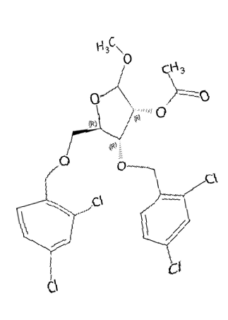 COC1O[C@H](COCc2ccc(Cl)cc2Cl)[C@@H](OCc2ccc(Cl)cc2Cl)[C@H]1OC(C)=O